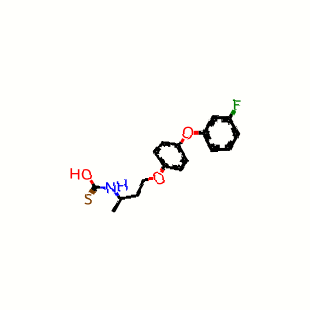 CC(CCOc1ccc(Oc2cccc(F)c2)cc1)NC(O)=S